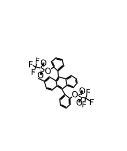 Cc1ccc2c(-c3ccccc3OS(=O)(=O)C(F)(F)F)c3ccccc3c(-c3ccccc3OS(=O)(=O)C(F)(F)F)c2c1